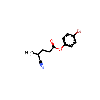 CC(C#N)CCC(=O)Oc1ccc(Br)cc1